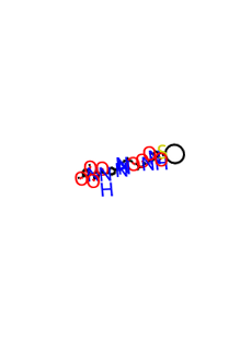 COc1ccc(OC)c(N2CC(C(=O)Nc3ccc(-c4cn(CC(C)(C)COCC(C)CC(=O)NCCN5C(=O)CC(SC6(C)CCCCCCCCCCCCCCC6)C5=O)nn4)cc3)CC2=O)c1